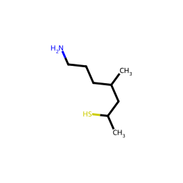 CC(S)CC(C)CCCN